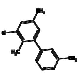 Cc1cccc(-c2cc(N)cc(Cl)c2C)c1